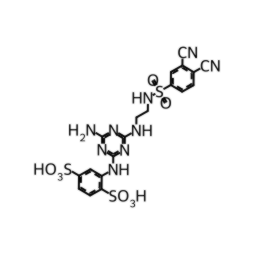 N#Cc1ccc(S(=O)(=O)NCCNc2nc(N)nc(Nc3cc(S(=O)(=O)O)ccc3S(=O)(=O)O)n2)cc1C#N